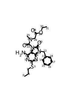 CCCSc1nc(N)c2c(n1)n(Cc1ccccc1)c(=O)n2C(=O)N(C)CC(=O)OCC